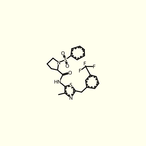 Cc1nc(Cc2cccc(C(F)(F)F)c2)sc1NC(=O)C1CCCN1S(=O)(=O)c1ccccc1